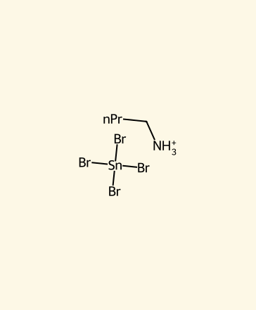 CCCC[NH3+].[Br][Sn]([Br])([Br])[Br]